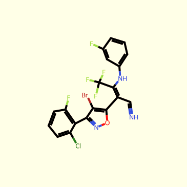 N=C/C(=C(\Nc1cccc(F)c1)C(F)(F)F)c1onc(-c2c(F)cccc2Cl)c1Br